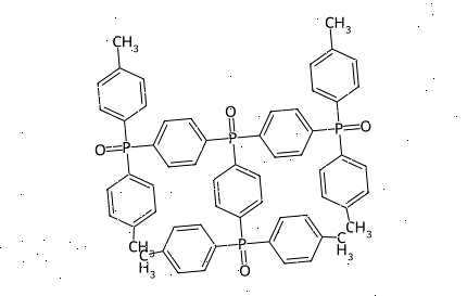 Cc1ccc(P(=O)(c2ccc(C)cc2)c2ccc(P(=O)(c3ccc(P(=O)(c4ccc(C)cc4)c4ccc(C)cc4)cc3)c3ccc(P(=O)(c4ccc(C)cc4)c4ccc(C)cc4)cc3)cc2)cc1